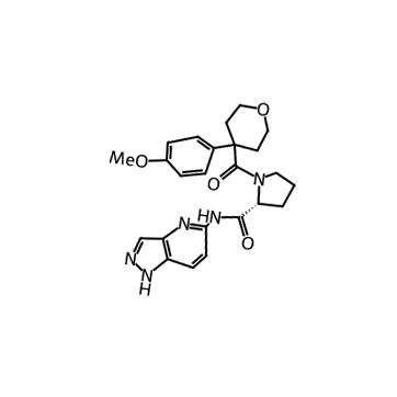 COc1ccc(C2(C(=O)N3CCC[C@@H]3C(=O)Nc3ccc4[nH]ncc4n3)CCOCC2)cc1